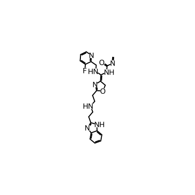 C=NC(=O)N/C(NCc1ncccc1F)=C1\COC(CCNCCc2nc3ccccc3[nH]2)=N1